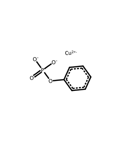 O=P([O-])([O-])Oc1ccccc1.[Cu+2]